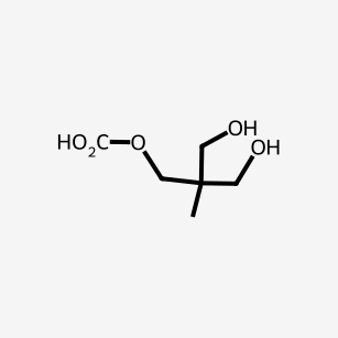 CC(CO)(CO)COC(=O)O